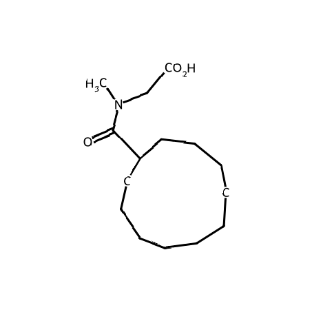 CN(CC(=O)O)C(=O)C1CCCCCCCCCC1